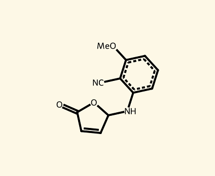 COc1cccc(NC2C=CC(=O)O2)c1C#N